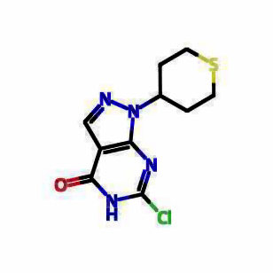 O=c1[nH]c(Cl)nc2c1cnn2C1CCSCC1